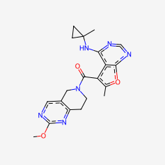 COc1ncc2c(n1)CCN(C(=O)c1c(C)oc3ncnc(NC4(C)CC4)c13)C2